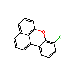 Clc1cccc2c1Oc1cccc3cccc-2c13